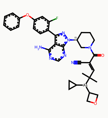 CC(C)(C=C(C#N)C(=O)N1CCC[C@H](n2nc(-c3ccc(Oc4ccccc4)cc3F)c3c(N)ncnc32)C1)[As](C1CC1)C1COC1